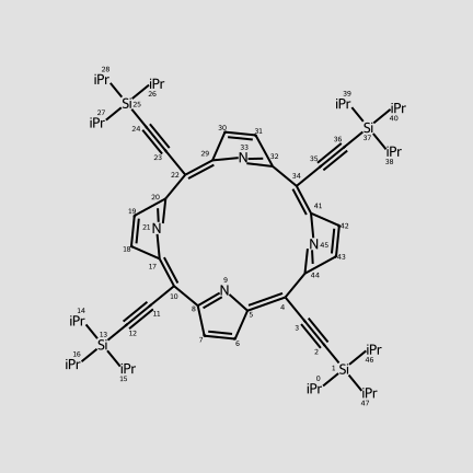 CC(C)[Si](C#CC1=C2C=CC(=N2)C(C#C[Si](C(C)C)(C(C)C)C(C)C)=C2C=CC(=N2)C(C#C[Si](C(C)C)(C(C)C)C(C)C)=C2C=CC(=N2)C(C#C[Si](C(C)C)(C(C)C)C(C)C)=C2C=CC1=N2)(C(C)C)C(C)C